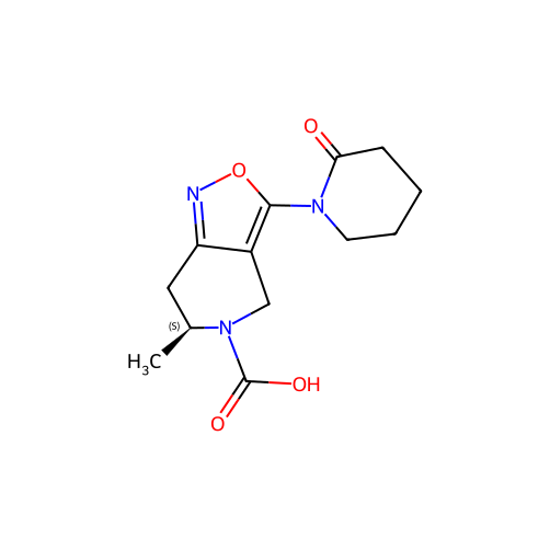 C[C@H]1Cc2noc(N3CCCCC3=O)c2CN1C(=O)O